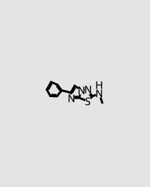 CNc1nn2cc(-c3ccccc3)nc2s1